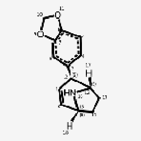 C1=C[C@@H](c2ccc3c(c2)OCO3)[C@@H]2CC[C@H]1N2